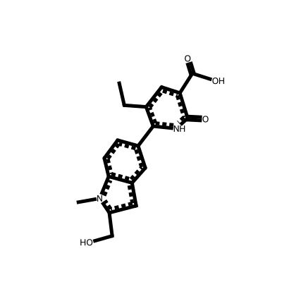 CCc1cc(C(=O)O)c(=O)[nH]c1-c1ccc2c(c1)cc(CO)n2C